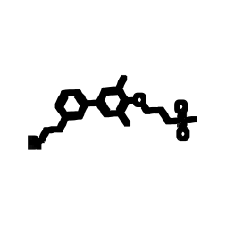 Cc1cc(-c2cccc(CCBr)c2)cc(C)c1OCCCS(C)(=O)=O